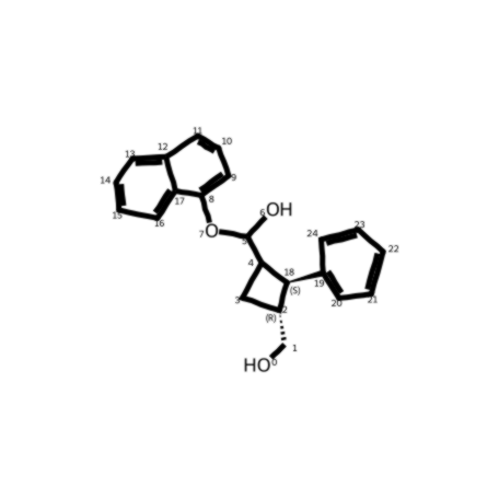 OC[C@@H]1CC(C(O)Oc2cccc3ccccc23)[C@H]1c1ccccc1